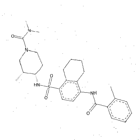 Cc1ccccc1C(=O)Nc1ccc(S(=O)(=O)N[C@H]2CCN(C(=O)N(C)C)C[C@H]2C)c2c1CCCC2